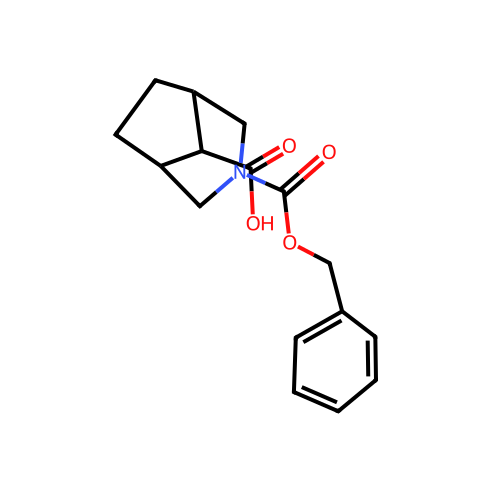 O=C(O)C1C2CCC1CN(C(=O)OCc1ccccc1)C2